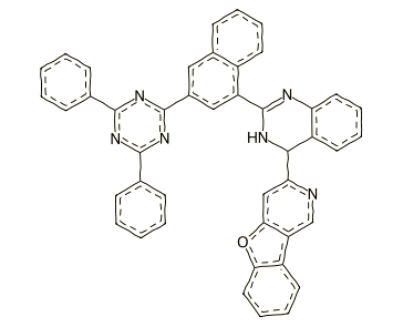 c1ccc(-c2nc(-c3ccccc3)nc(-c3cc(C4=Nc5ccccc5C(c5cc6oc7ccccc7c6cn5)N4)c4ccccc4c3)n2)cc1